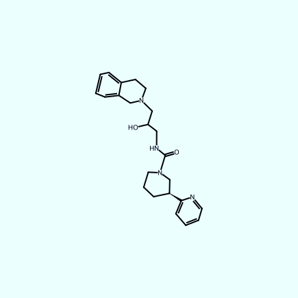 O=C(NCC(O)CN1CCc2ccccc2C1)N1CCC[C@H](c2ccccn2)C1